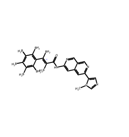 B/C(C(=O)Nc1cc2cc(-c3cncn3C)ncc2cn1)=C(/B)c1c(B)c(B)c(B)c(B)c1B